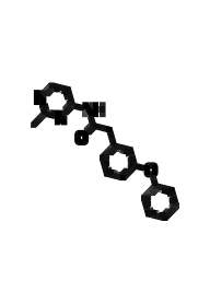 Cc1nccc(NC(=O)Cc2cccc(Oc3ccccc3)c2)n1